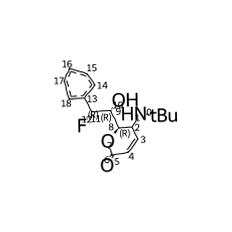 CC(C)(C)NC1C=CC(=O)O[C@H]1[C@@H](O)[C@H](F)c1ccccc1